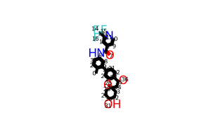 Cc1ccc(NC(=O)c2ccnc(C(F)(F)F)c2)cc1-c1ccc2c(c1)O[C@]1(CC[C@@H](O)CC1)CC2=O